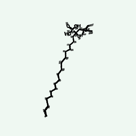 C=CCCCCCCCCCCCCCCCCC(O)(C[N+](C)(C)C)P(=O)(O)O